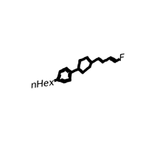 CCCCCCc1ccc(C2CCC(CCC=CF)CC2)cc1